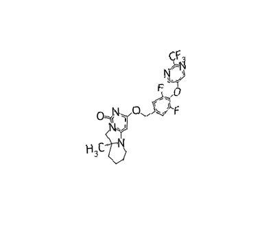 CC12CCCCN1c1cc(OCc3cc(F)c(Oc4cnc(C(F)(F)F)nc4)c(F)c3)nc(=O)n1C2